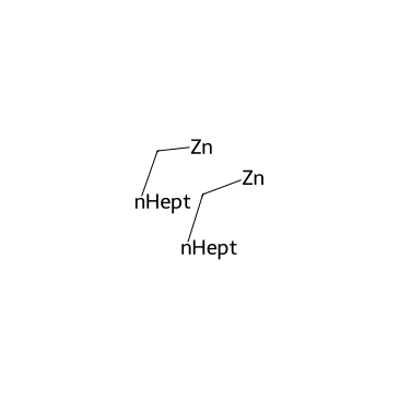 CCCCCCC[CH2][Zn].CCCCCCC[CH2][Zn]